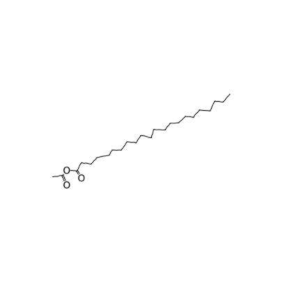 CCCCCCCCCCCCCCCCCCCCCC(=O)OC(C)=O